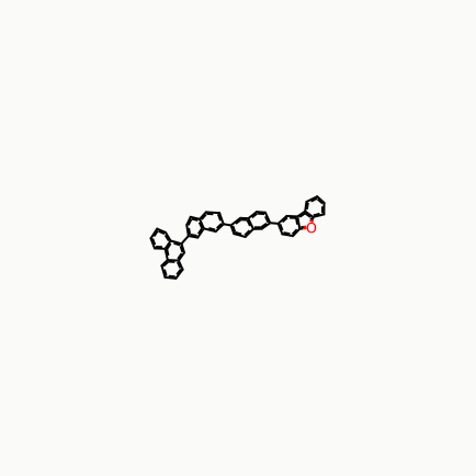 c1ccc2c(c1)cc(-c1ccc3ccc(-c4ccc5cc(-c6ccc7oc8ccccc8c7c6)ccc5c4)cc3c1)c1ccccc12